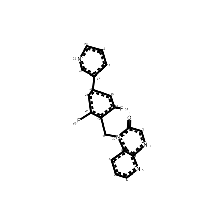 O=c1cnc2ncccc2n1Cc1c(F)cc(-c2cccnc2)cc1F